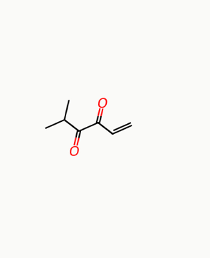 C=CC(=O)C(=O)C(C)C